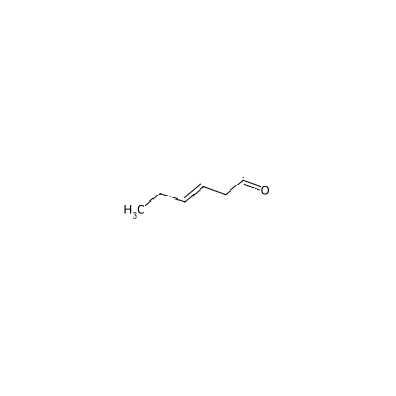 CCC=CC[C]=O